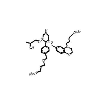 COCCCOCc1ccc([C@@H]2[C@@H](OCc3ccc4c(c3)N(CCCOC)CCO4)CNC[C@H]2OCC(C)O)cc1